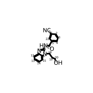 N#Cc1cccc(C(=O)Nc2nc3ccccc3n2CCCO)c1